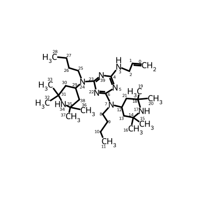 C=CCNc1nc(N(CCCC)C2CC(C)(C)NC(C)(C)C2)nc(N(CCCC)C2CC(C)(C)NC(C)(C)C2)n1